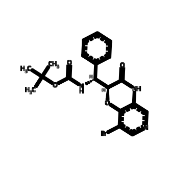 CC(C)(C)OC(=O)N[C@H](c1ccccc1)[C@@H]1Oc2c(Br)cncc2NC1=O